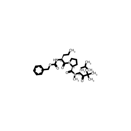 CCC[C@H](NC(=O)OCc1ccccc1)C(=O)N1CCC[C@H]1C(=O)N(C)[C@H](CC(C)C)C(=O)C(C)(C)C